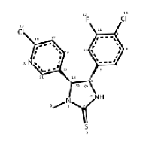 CN1C(=S)N[C@H](c2ccc(Cl)c(F)c2)[C@@H]1c1ccc(Cl)nc1